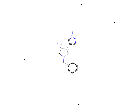 Cn1cc(C2CN(Cc3ccccc3)CC2N)cn1